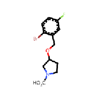 O=C(O)N1CCC(OCc2cc(F)ccc2Br)C1